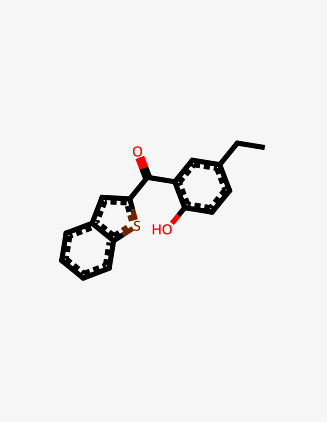 CCc1ccc(O)c(C(=O)c2cc3ccccc3s2)c1